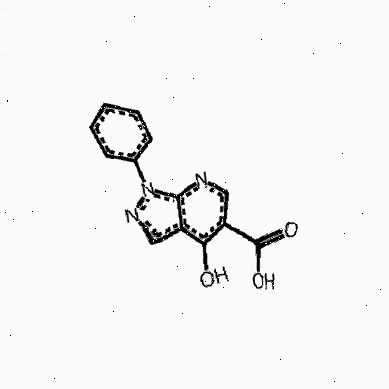 O=C(O)c1cnc2c(cnn2-c2ccccc2)c1O